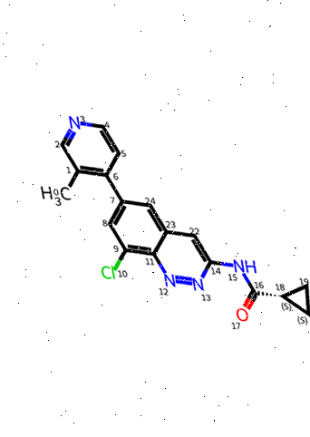 Cc1cnccc1-c1cc(Cl)c2nnc(NC(=O)[C@@H]3C[C@@H]3F)cc2c1